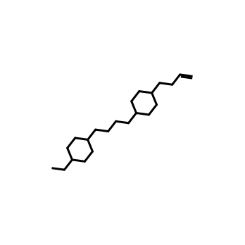 C=CCCC1CCC(CCCCC2CCC(CC)CC2)CC1